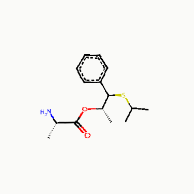 CC(C)S[C@H](c1ccccc1)[C@H](C)OC(=O)[C@H](C)N